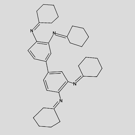 c1cc(N=C2CCCCC2)c(N=C2CCCCC2)cc1-c1ccc(N=C2CCCCC2)c(N=C2CCCCC2)c1